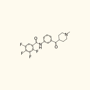 CN1CCC(C(=O)c2cccc(NC(=O)c3cc(F)c(F)c(F)c3F)c2)CC1